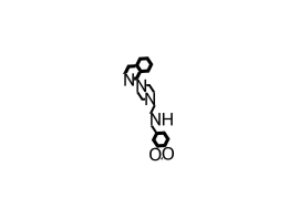 c1ccc2c(N3CCN(CCNCc4ccc5c(c4)OCO5)CC3)nccc2c1